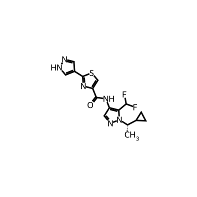 C[C@@H](C1CC1)n1ncc(NC(=O)c2csc(-c3cn[nH]c3)n2)c1C(F)F